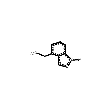 CC(=O)OCc1cccc2c1cnn2C(C)=O